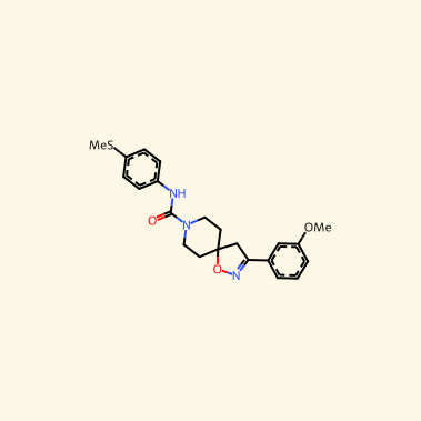 COc1cccc(C2=NOC3(CCN(C(=O)Nc4ccc(SC)cc4)CC3)C2)c1